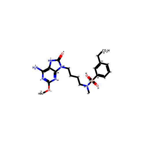 CCCCOc1nc(N)c2[nH]c(=O)n(CCCCN(C)S(=O)(=O)c3cccc(CC(=O)O)c3)c2n1